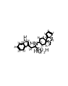 CN(C)C1(c2cccs2)CCC(NC(Cc2c[nH]c3ccccc23)C(=O)O)CC1.Cl